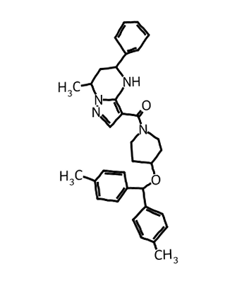 Cc1ccc(C(OC2CCN(C(=O)c3cnn4c3NC(c3ccccc3)CC4C)CC2)c2ccc(C)cc2)cc1